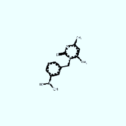 Cc1cc(C)n(Cc2cccc(B(O)O)c2)c(=O)n1